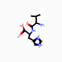 CC(C)C(N)C(=O)NC(Cc1c[nH]cn1)C(=O)O